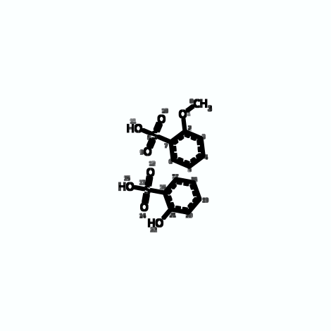 COc1ccccc1S(=O)(=O)O.O=S(=O)(O)c1ccccc1O